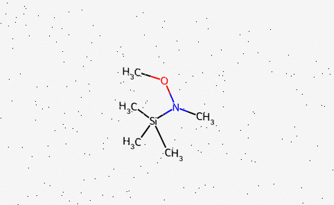 CON(C)[Si](C)(C)C